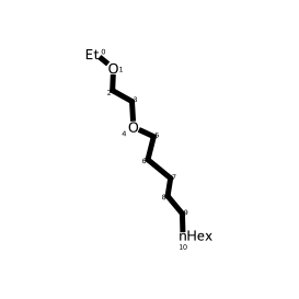 [CH2]COCCOCCCCCCCCCCC